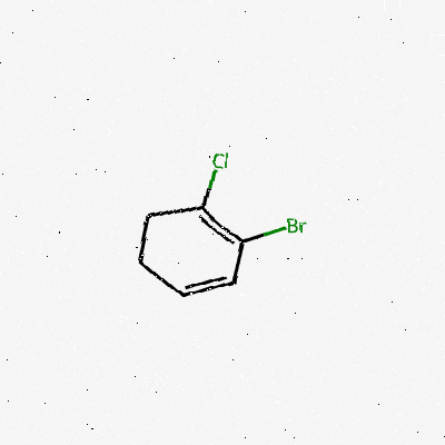 ClC1=C(Br)C=CCC1